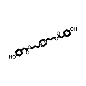 O=C(Cc1ccc(O)cc1)OCCCN1CCN(CCCOC(=O)Cc2ccc(O)cc2)CC1